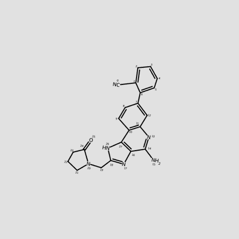 N#Cc1ccccc1-c1ccc2c(c1)nc(N)c1nc(CN3CCCC3=O)[nH]c12